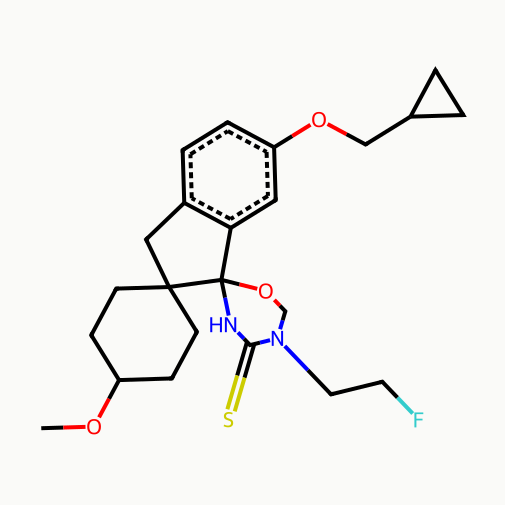 COC1CCC2(CC1)Cc1ccc(OCC3CC3)cc1C21NC(=S)N(CCF)CO1